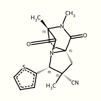 CN1C(=O)[C@@]23C[C@](C)(C#N)[C@H](c4cccs4)N2C(=O)[C@]1(C)SS3